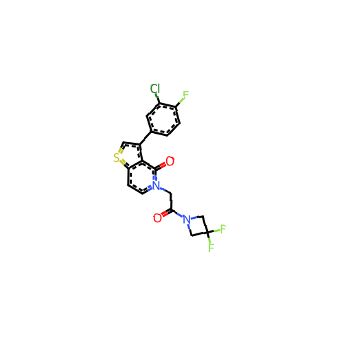 O=C(Cn1ccc2scc(-c3ccc(F)c(Cl)c3)c2c1=O)N1CC(F)(F)C1